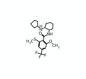 COc1cc(C(F)(F)F)cc(SC)c1C(=O)N[C@@H]1CCCC[C@@H]1NC1CCCC1